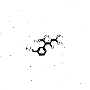 C=C(C)/C(=C(Cl)\C=C(/C)N)c1cccc(CC)c1